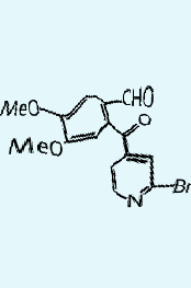 COc1cc(C=O)c(C(=O)c2ccnc(Br)c2)cc1OC